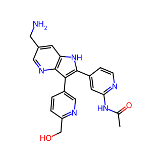 CC(=O)Nc1cc(-c2[nH]c3cc(CN)cnc3c2-c2ccc(CO)nc2)ccn1